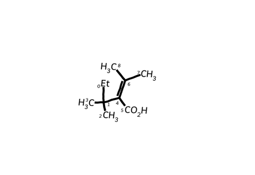 CCC(C)(C)C(C(=O)O)=C(C)C